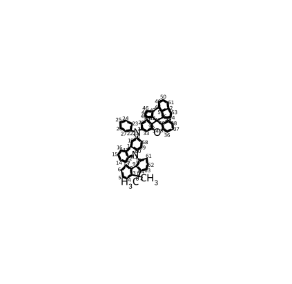 CC1(C)c2ccccc2-c2c(-n3c4ccccc4c4cc(N(c5ccccc5)c5ccc6c(c5)Oc5ccccc5C65c6ccccc6-c6cccc7cccc5c67)ccc43)cccc21